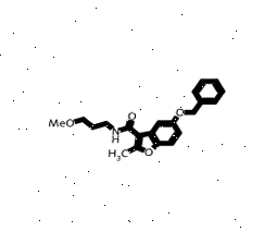 COCCCNC(=O)c1c(C)oc2ccc(OCc3ccccc3)cc12